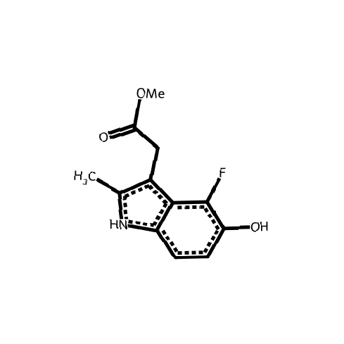 COC(=O)Cc1c(C)[nH]c2ccc(O)c(F)c12